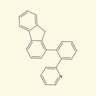 c1ccc(-c2ccccc2-c2cccc3c2Cc2ccccc2-3)nc1